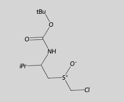 CC(C)C(C[S+]([O-])CCl)NC(=O)OC(C)(C)C